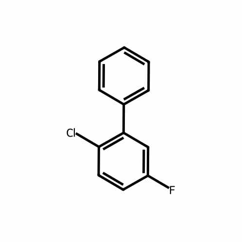 Fc1ccc(Cl)c(-c2ccccc2)c1